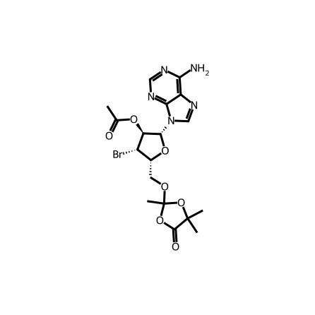 CC(=O)O[C@@H]1[C@@H](Br)[C@@H](COC2(C)OC(=O)C(C)(C)O2)O[C@H]1n1cnc2c(N)ncnc21